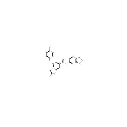 Cc1ccc(Oc2cc(C(=O)Nc3ccc4c(n3)CCC4)cc3oc(C)cc23)cc1